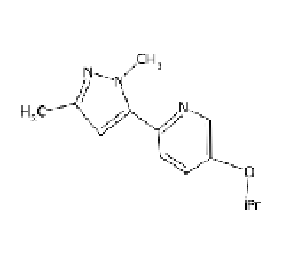 Cc1cc(-c2ccc(OC(C)C)cn2)n(C)n1